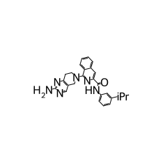 CC(C)c1cccc(NC(=O)c2cc3ccccc3c(N3CCc4nc(N)ncc4C3)n2)c1